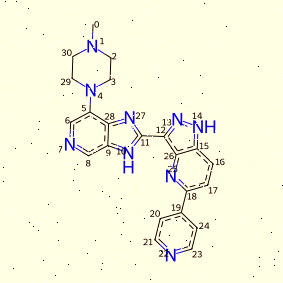 CN1CCN(c2cncc3[nH]c(-c4n[nH]c5ccc(-c6ccncc6)nc45)nc23)CC1